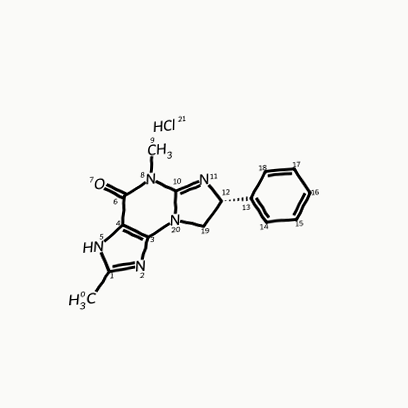 Cc1nc2c([nH]1)C(=O)N(C)C1=N[C@H](c3ccccc3)CN12.Cl